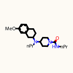 CCCNC(=O)N1CCC(N(CCC)C2CCc3ccc(OC)cc3C2)CC1